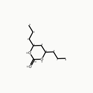 CCCC1CC(CCC)OC(=O)O1